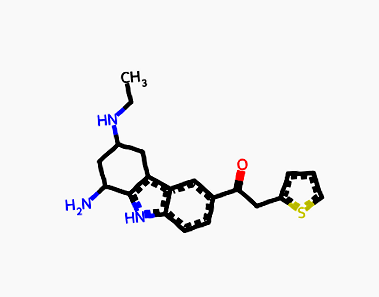 CCNC1Cc2c([nH]c3ccc(C(=O)Cc4cccs4)cc23)C(N)C1